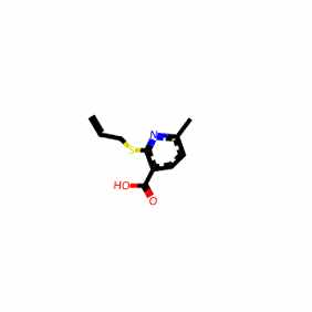 C=CCSc1nc(C)ccc1C(=O)O